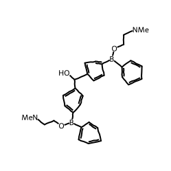 CNCCOB(c1ccccc1)c1ccc(C(O)c2ccc(B(OCCNC)c3ccccc3)cc2)cc1